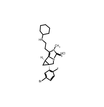 Cl.Cn1c(CCNC2CCCCC2)c2n(c1=S)C[C@@]1(c3cc(Br)ccc3F)C[C@@H]21